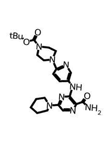 CC(C)(C)OC(=O)N1CCN(c2ccc(Nc3nc(N4CCCCC4)cnc3C(N)=O)cn2)CC1